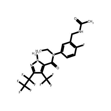 CCN(C(=O)c1c(C(F)(F)F)c(C(F)(F)C(F)(F)F)nn1C)c1ccc(F)c(CNC(C)=O)c1